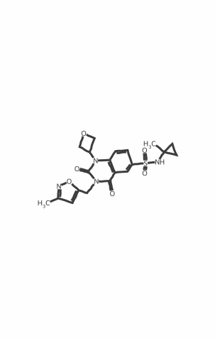 Cc1cc(Cn2c(=O)c3cc(S(=O)(=O)NC4(C)CC4)ccc3n(C3COC3)c2=O)on1